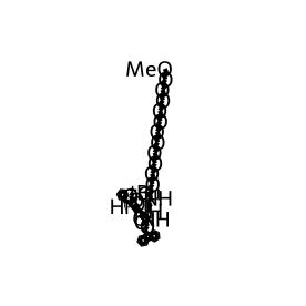 COCCOCCOCCOCCOCCOCCOCCOCCOCCOCCOCCOCCC(=O)NCCCC[C@H](NC(=O)OCC1c2ccccc2-c2ccccc21)C(=O)NCC(=O)N[C@@H](Cc1ccccc1)C(=O)OC(C)(C)C